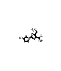 CCc1oc(N2CC[C@H](O)C2)nc1C(=O)O